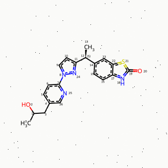 CC(O)Cc1ccc(-n2ccc([C@@H](C)c3ccc4[nH]c(=O)sc4c3)n2)nc1